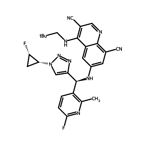 Cc1nc(F)ccc1[C@H](Nc1cc(C#N)c2ncc(C#N)c(NCC(C)(C)C)c2c1)c1cn([C@@H]2C[C@@H]2F)nn1